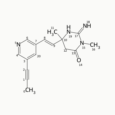 CC#Cc1cncc(C=CC2(C)CC(=O)N(C)C(=N)N2)c1